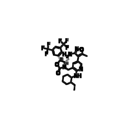 CCC1CCCCC1Nc1ncc(-c2c(N)noc2C)cc1CN1C(=O)O[C@H](c2cc(C(F)(F)F)cc(C(F)(F)F)c2)[C@@H]1C